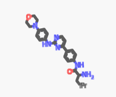 CC(C)CC(N)C(=O)Nc1ccc(-c2ccnc(Nc3ccc(N4CCOCC4)cc3)n2)cc1